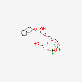 OCC(O)COCC(F)(F)OC(F)(F)OC(F)(F)COCCOCC(O)COc1ccc2ccccc2c1